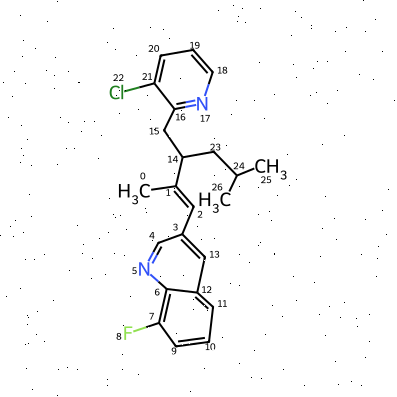 C/C(=C\c1cnc2c(F)cccc2c1)C(Cc1ncccc1Cl)CC(C)C